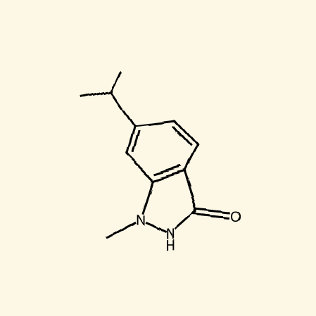 CC(C)c1ccc2c(=O)[nH]n(C)c2c1